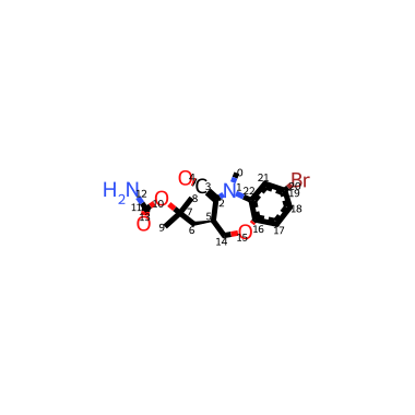 CN1C(=C=O)[C@H](CC(C)(C)OC(N)=O)COc2ccc(Br)cc21